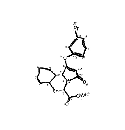 COC(=O)[C@H](CC1CCCCC1)N1CC(Oc2cccc(Br)c2)=CC1=O